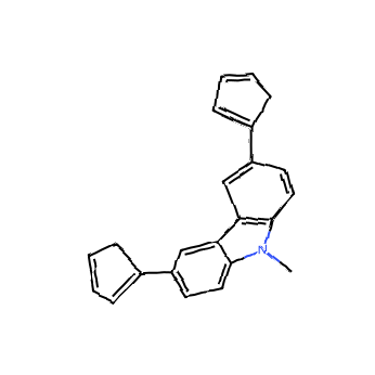 Cn1c2ccc(C3=CC=CC3)cc2c2cc(C3=CC=CC3)ccc21